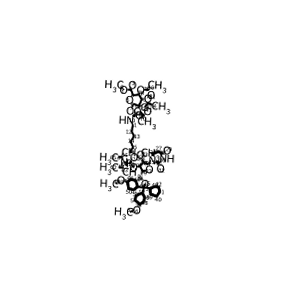 COC(=O)C1OC(OC(=O)NCCCCCCOP(OC2C(OC)[C@H](n3ccc(=O)[nH]c3=O)O[C@@H]2COC(c2ccccc2)(c2ccc(OC)cc2)c2ccc(OC)cc2)N(C(C)C)C(C)C)C(OC(C)=O)(OC(C)=O)CC1OC(C)=O